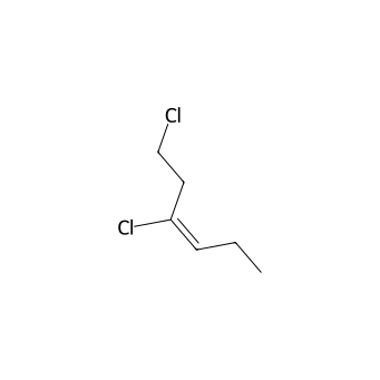 CC/C=C(/Cl)CCCl